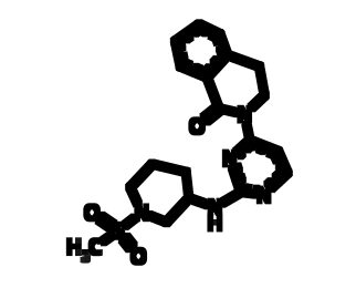 CS(=O)(=O)N1CCCC(Nc2nccc(N3CCc4ccccc4C3=O)n2)C1